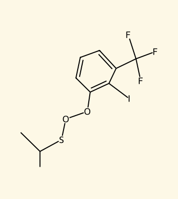 CC(C)SOOc1cccc(C(F)(F)F)c1I